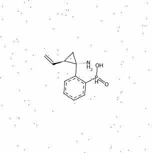 C=C[C@H]1C[C@@]1(N)c1ccccc1[PH](=O)O